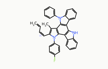 C=C/C=C\c1c(C)c2c(c3c4ccccc4[nH]c3c3c4ccccc4n(-c4ccccc4)c23)n1-c1ccc(F)cc1